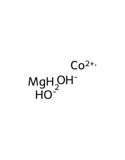 [Co+2].[MgH2].[OH-].[OH-]